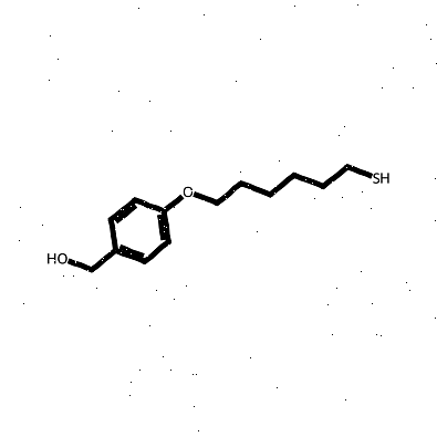 OCc1ccc(OCCCCCCS)cc1